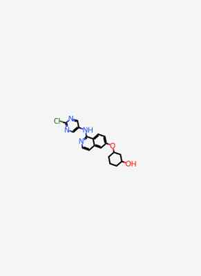 OC1CCCC(Oc2ccc3c(Nc4cnc(Cl)nc4)nccc3c2)C1